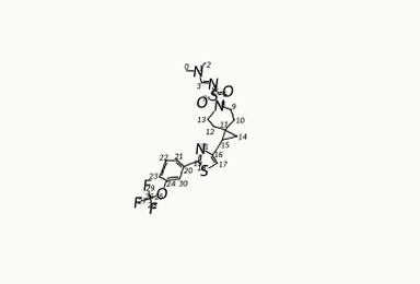 CN(C)/C=N/S(=O)(=O)N1CCC2(CC1)CC2c1csc(-c2cccc(OC(F)(F)F)c2)n1